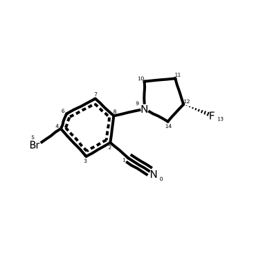 N#Cc1cc(Br)ccc1N1CC[C@H](F)C1